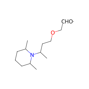 CC1CCCC(C)N1C(C)CCOC[C]=O